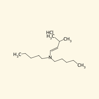 CCCCCN(C=CC(C)C)CCCCC.Cl